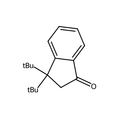 CC(C)(C)C1(C(C)(C)C)CC(=O)c2ccccc21